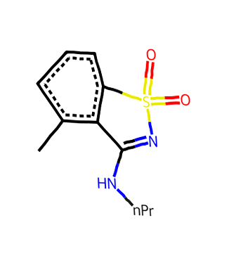 CCCNC1=NS(=O)(=O)c2cccc(C)c21